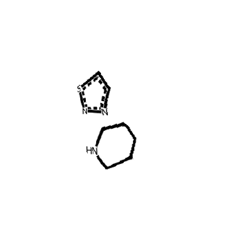 C1CCNCC1.c1csnn1